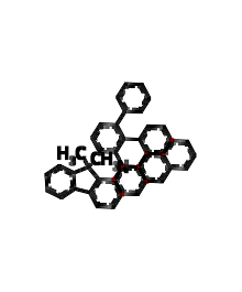 CC1(C)c2ccccc2-c2cccc(N(c3ccc4ccccc4c3)c3cccc(-c4ccccc4)c3-c3ccccc3-c3ccccc3)c21